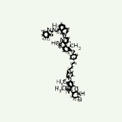 Cc1c(O[C@H]2CC[C@H](CCCCN3CCN(c4ccc5c(C6CCC(=O)NC6=O)nn(C)c5c4C)CC3)CC2)cccc1-c1ccc(N2CCc3cccc(CNc4nc5ccccc5s4)c3C2)nc1C(=O)O